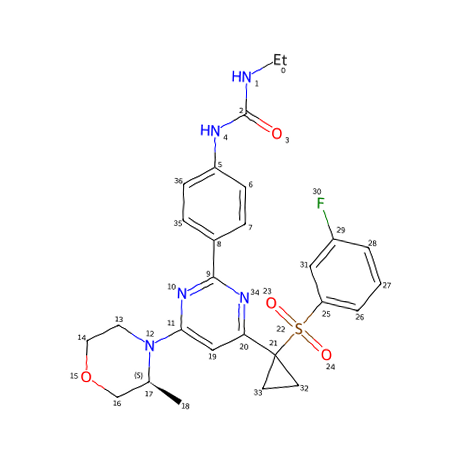 CCNC(=O)Nc1ccc(-c2nc(N3CCOC[C@@H]3C)cc(C3(S(=O)(=O)c4cccc(F)c4)CC3)n2)cc1